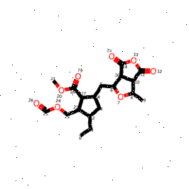 CCC1CC(CC2OC(C)C3C(=O)OC(=O)C23)C(C(=O)OC)C1COC=O